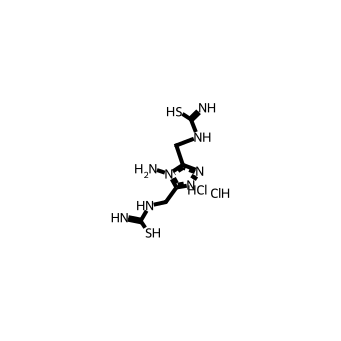 Cl.Cl.N=C(S)NCc1nnc(CNC(=N)S)n1N